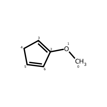 COC1=[C]CC=C1